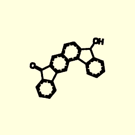 O=C1c2ccccc2-c2cc3c4c(ccc3cc21)C(O)c1ccccc1-4